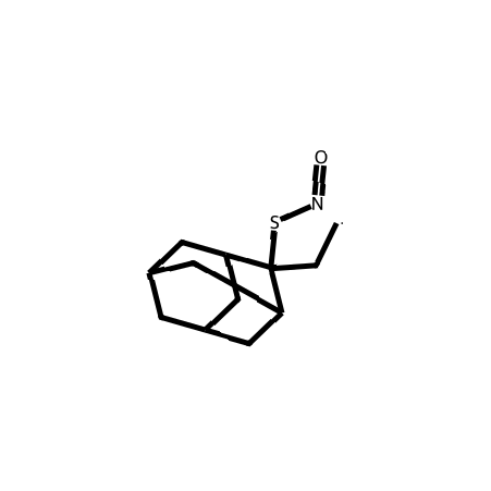 [CH2]CC1(SN=O)C2CC3CC(C2)CC1C3